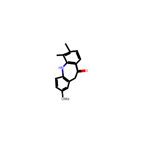 COc1ccc2c(c1)CC(=O)c1ccc(C)c(C)c1N2